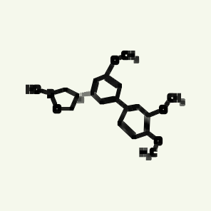 COc1cc(-c2ccc(OC)c(OC)c2)cc([C@@H]2COB(O)C2)c1